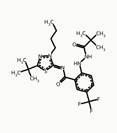 CCCCn1nc(C(C)(C)C)sc1=NC(=O)c1cc(C(F)(F)F)ccc1NNC(=O)C(C)(C)C